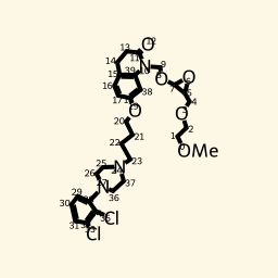 COCCOCC1OC1OCN1C(=O)CCc2ccc(OCCCCN3CCN(c4cccc(Cl)c4Cl)CC3)cc21